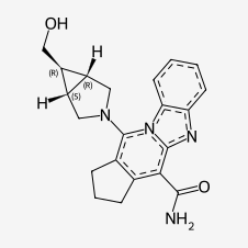 NC(=O)c1c2c(c(N3C[C@@H]4[C@@H](CO)[C@@H]4C3)n3c1nc1ccccc13)CCC2